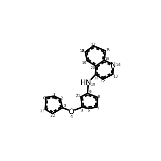 c1ccc(Oc2cccc(Nc3ccnc4ccccc34)c2)cc1